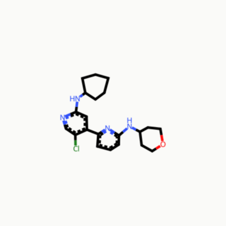 Clc1cnc(NC2CCCCC2)cc1-c1cccc(NC2CCOCC2)n1